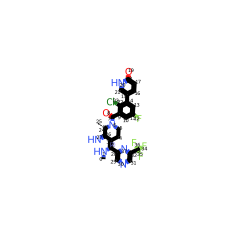 CN/C(=C1/CCN(C(=O)c2cc(F)cc(-c3ccc(=O)[nH]c3)c2Cl)[C@@H](C)C1=N)c1cncc(C(F)(F)F)n1